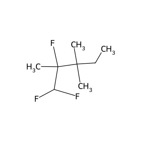 CCC(C)(C)C(C)(F)C(F)F